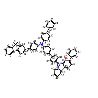 CC1(C)c2ccccc2-c2ccc(-c3ccc(N(c4ccc(-c5ccccc5)cc4)c4ccc(-c5ccc(-n6c7ccccc7c7ccc8c9ccccc9oc8c76)cc5)cc4)cc3)cc21